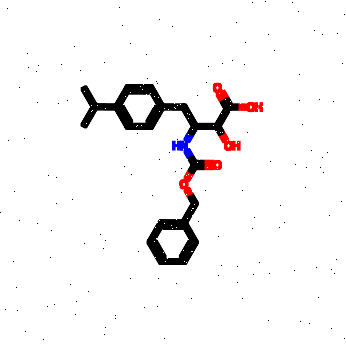 CC(C)c1ccc(CC(NC(=O)OCc2ccccc2)C(O)C(=O)O)cc1